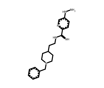 N=C(NCCC1CCN(Cc2ccccc2)CC1)c1ccc(NN)cn1